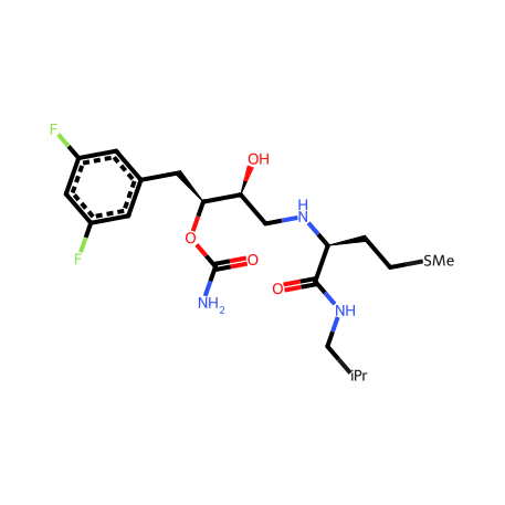 CSCC[C@H](NC[C@H](O)[C@H](Cc1cc(F)cc(F)c1)OC(N)=O)C(=O)NCC(C)C